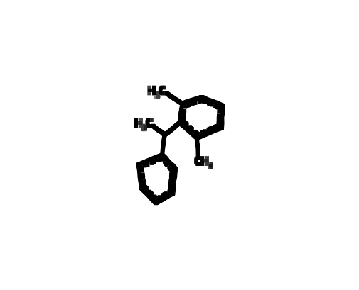 Cc1cccc(C)c1C(C)c1ccccc1